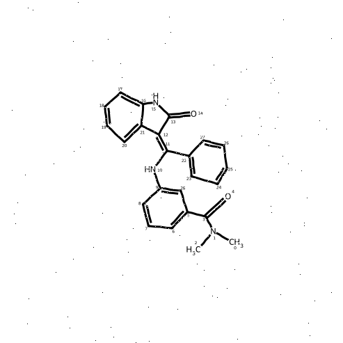 CN(C)C(=O)c1cccc(NC(=C2C(=O)Nc3ccccc32)c2ccccc2)c1